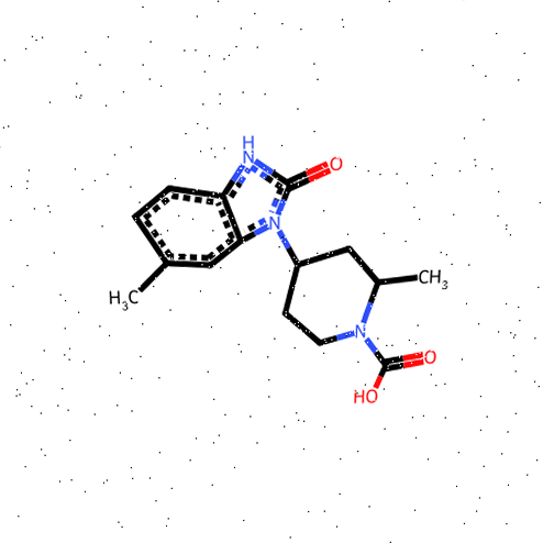 Cc1ccc2[nH]c(=O)n(C3CCN(C(=O)O)C(C)C3)c2c1